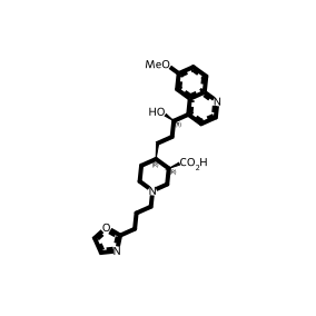 COc1ccc2nccc([C@H](O)CC[C@@H]3CCN(CCCc4ncco4)C[C@@H]3C(=O)O)c2c1